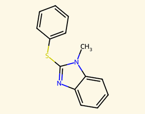 Cn1c(Sc2ccccc2)nc2ccccc21